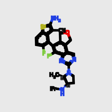 CC(C)N[C@H]1CCN(c2ncc3c4c(c(-c5c(F)ccc6sc(N)c(C#N)c56)c(F)c3n2)COC4)[C@H]1C